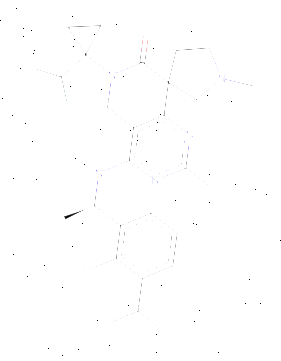 Cc1nc(N[C@H](C)c2cccc(C(F)F)c2F)c2c(n1)C1(CCN(C)C1)C(=O)N(C1(C(F)F)CC1)C2